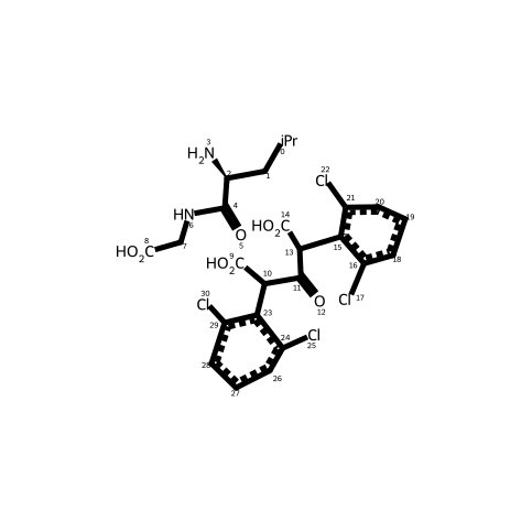 CC(C)C[C@H](N)C(=O)NCC(=O)O.O=C(O)C(C(=O)C(C(=O)O)c1c(Cl)cccc1Cl)c1c(Cl)cccc1Cl